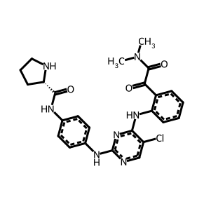 CN(C)C(=O)C(=O)c1ccccc1Nc1nc(Nc2ccc(NC(=O)[C@@H]3CCCN3)cc2)ncc1Cl